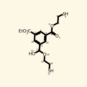 CCOC(=O)c1cc(C(=O)OCCS)cc(C(O)OCCS)c1